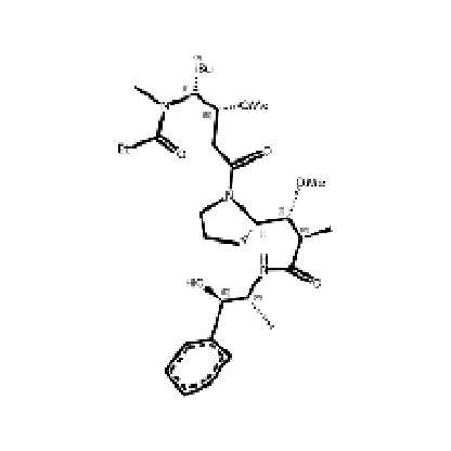 CCC(=O)N(C)[C@@H]([C@@H](C)CC)[C@@H](CC(=O)N1CCC[C@H]1[C@H](OC)[C@@H](C)C(=O)N[C@H](C)[C@H](O)c1ccccc1)OC